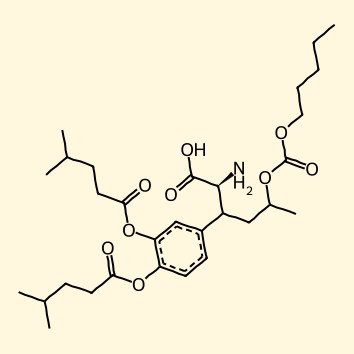 CCCCCOC(=O)OC(C)CC(c1ccc(OC(=O)CCC(C)C)c(OC(=O)CCC(C)C)c1)[C@H](N)C(=O)O